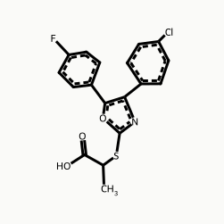 CC(Sc1nc(-c2ccc(Cl)cc2)c(-c2ccc(F)cc2)o1)C(=O)O